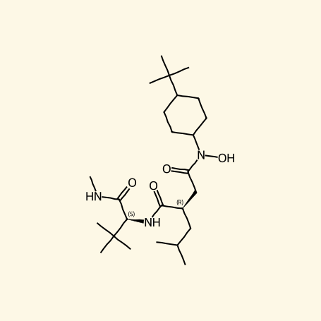 CNC(=O)[C@@H](NC(=O)[C@@H](CC(=O)N(O)C1CCC(C(C)(C)C)CC1)CC(C)C)C(C)(C)C